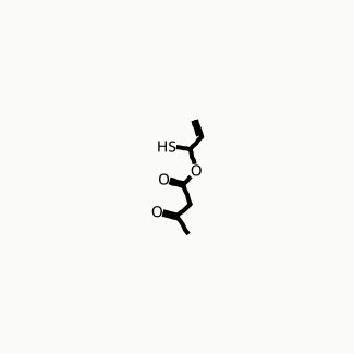 C=CC(S)OC(=O)CC(C)=O